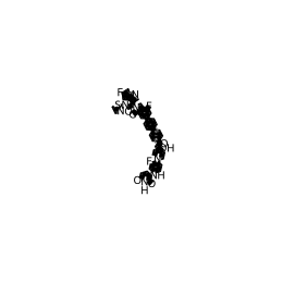 O=C1CC[C@@H](Nc2ccc(N3CCC(O)(CC(=O)N4CCN(c5ccc(-c6cc(F)c7c(c6)C(=O)N(C(C(=O)Nc6nccs6)c6cnn8c6C[C@@H](F)C8)C7)cc5)CC4)CC3)c(F)c2)C(=O)N1